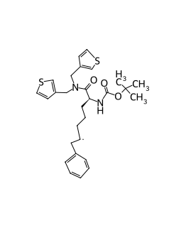 CC(C)(C)OC(=O)N[C@@H](CCC[CH]Cc1ccccc1)C(=O)N(Cc1ccsc1)Cc1ccsc1